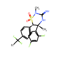 CCC(F)(F)c1ccc([C@@H]2[C@@](C)(c3ccc(F)cc3F)NC(=N)N(C)S2(=O)=O)cc1